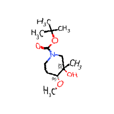 CO[C@@H]1CCN(C(=O)OC(C)(C)C)C[C@]1(C)O